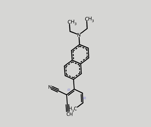 C#C/C(C#N)=C(\C=C/C)c1ccc2cc(N(CC)CC)ccc2c1